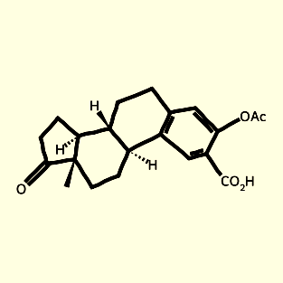 CC(=O)Oc1cc2c(cc1C(=O)O)[C@H]1CC[C@]3(C)C(=O)CC[C@H]3[C@@H]1CC2